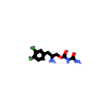 NC(=O)NC(=O)OCC(N)Cc1ccc(Cl)c(Cl)c1